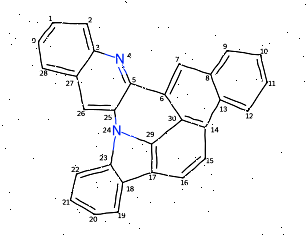 c1ccc2nc3c4cc5ccccc5c5ccc6c7ccccc7n(c3cc2c1)c6c54